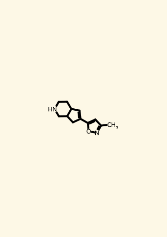 Cc1cc(C2=CC3CCNCC3C2)on1